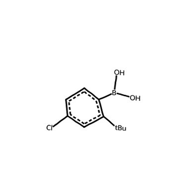 CC(C)(C)c1cc(Cl)ccc1B(O)O